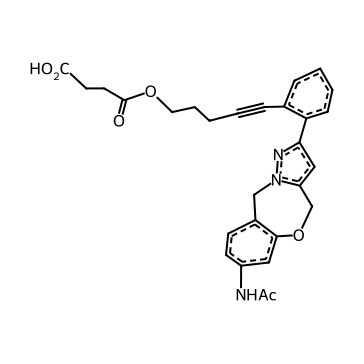 CC(=O)Nc1ccc2c(c1)OCc1cc(-c3ccccc3C#CCCCOC(=O)CCC(=O)O)nn1C2